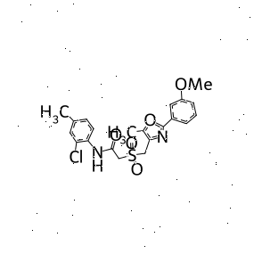 COc1cccc(-c2nc(CS(=O)(=O)CC(=O)Nc3ccc(C)cc3Cl)c(C)o2)c1